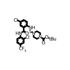 CC(C)(C)OC(=O)N1CCN(SNc2ccc(Cl)cc2C(=O)Nc2ccc(C(F)(F)F)cc2Cl)CC1